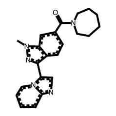 Cn1nc(-c2cnc3ccccn23)c2ccc(C(=O)N3CCCCCC3)cc21